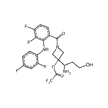 NC(CCO)C1(OC(=O)C(F)(F)F)CN(C(=O)c2ccc(F)c(F)c2Nc2ccc(I)cc2F)C1